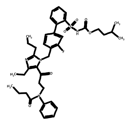 CCCC(=O)N(CCC(=O)c1c(CC)nc(CCC)n1Cc1ccc(-c2ccccc2S(=O)(=O)NC(=O)OCCC(C)C)cc1F)c1ccccc1